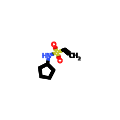 C=CS(=O)(=O)NC1CCCC1